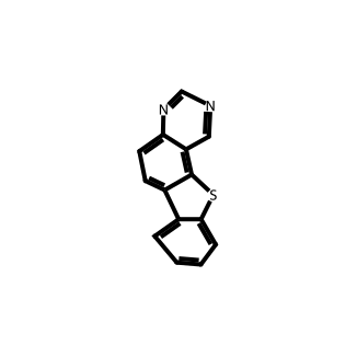 c1ccc2c(c1)sc1c3cncnc3ccc21